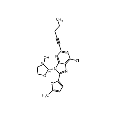 CCCC#Cc1nc(Cl)c2nc(-c3ccc(C)o3)n([C@@H]3OCC[C@H]3O)c2n1